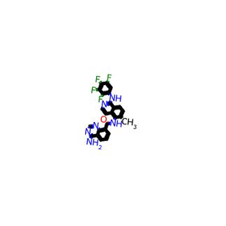 Cc1ccc2c(Nc3cc(F)c(F)c(F)c3F)nccc2c1NC(=O)c1cccc2c(N)ncnc12